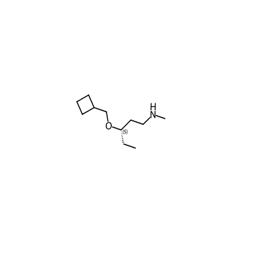 CC[C@@H](CCNC)OCC1CCC1